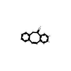 O=C1Cc2ccccc2C=Cc2ccccc21